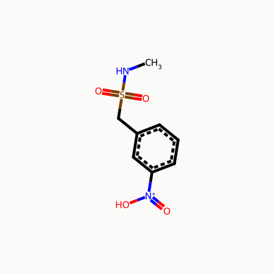 CNS(=O)(=O)Cc1cccc([N+](=O)O)c1